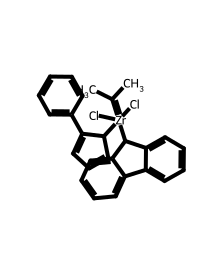 C[C](C)=[Zr]([Cl])([Cl])([CH]1C=CC=C1c1ccccc1)[CH]1c2ccccc2-c2ccccc21